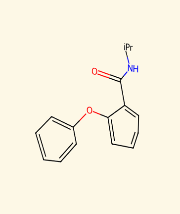 CC(C)NC(=O)c1ccccc1Oc1ccccc1